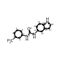 O=C(Nc1cccc(C(F)(F)F)c1)Nc1ccc2[nH]ccc2c1